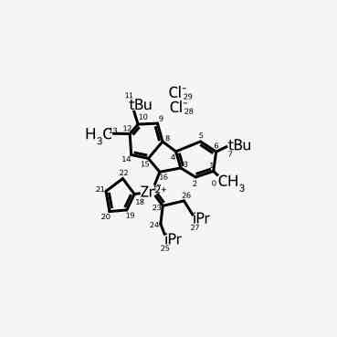 Cc1cc2c(cc1C(C)(C)C)-c1cc(C(C)(C)C)c(C)cc1[CH]2[Zr+2]([C]1=CC=CC1)=[C](CC(C)C)CC(C)C.[Cl-].[Cl-]